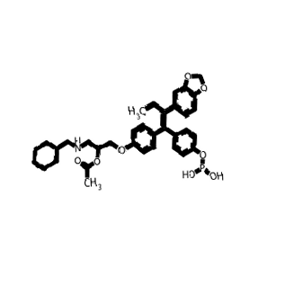 CCC(=C(c1ccc(OCC(CNCC2CCCCC2)OC(C)=O)cc1)c1ccc(OP(O)O)cc1)c1ccc2c(c1)OCO2